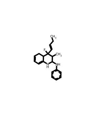 CCC=CC1(F)C2CC=CC=C2NC(Nc2ccccc2)C1C